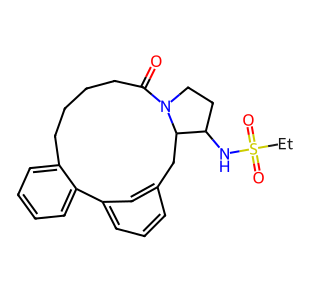 CCS(=O)(=O)NC1CCN2C(=O)CCCCc3ccccc3-c3cccc(c3)CC12